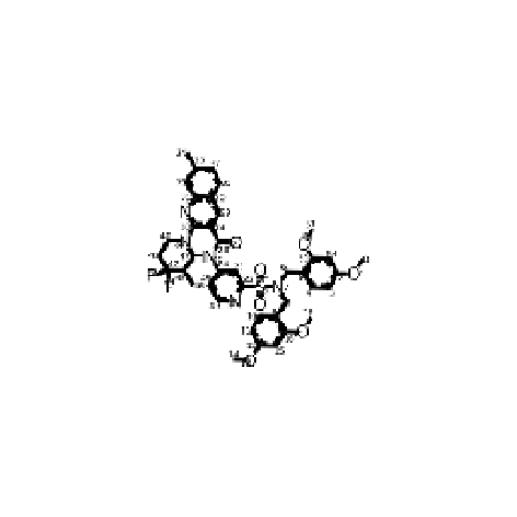 COc1ccc(CN(Cc2ccc(OC)cc2OC)S(=O)(=O)c2cc(NC(=O)c3cc4ccc(C)cc4nc3N3CCC(F)(F)C(C)C3)ccn2)c(OC)c1